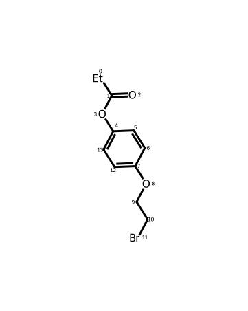 CCC(=O)Oc1ccc(OCCBr)cc1